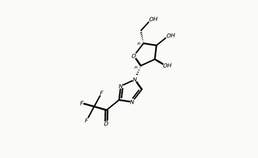 O=C(c1ncn([C@@H]2O[C@H](CO)C(O)C2O)n1)C(F)(F)F